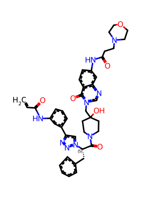 C=CC(=O)Nc1cccc(-c2cn([C@@H](Cc3ccccc3)C(=O)N3CCC(O)(Cn4cnc5cc(NC(=O)CCN6CCOCC6)ccc5c4=O)CC3)nn2)c1